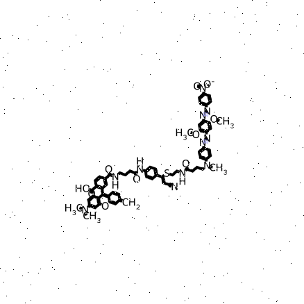 C=c1ccc2c(c1)Oc1cc(N(C)C)ccc1C=2c1cc(C(=O)NCCCC(=O)Nc2ccc(C(=CC#N)SCCNC(=O)CCCN(C)c3ccc(/N=N/c4cc(OC)c(/N=N/c5ccc([N+](=O)[O-])cc5)cc4OC)cc3)cc2)ccc1C(=O)O